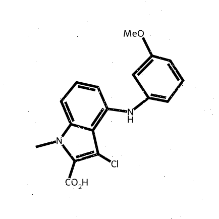 COc1cccc(Nc2cccc3c2c(Cl)c(C(=O)O)n3C)c1